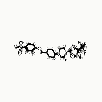 C[C@H]1CN(C2CCC(COc3ccc(S(C)(=O)=O)cc3F)CC2)CCN1c1nc(C(F)(F)F)no1